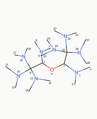 CN(C)C(OC(N(C)C)C(N(C)C)(N(C)C)N(C)C)C(N(C)C)(N(C)C)N(C)C